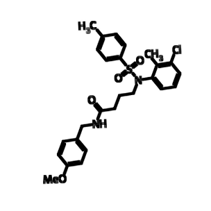 COc1ccc(CNC(=O)CCCN(c2cccc(Cl)c2C)S(=O)(=O)c2ccc(C)cc2)cc1